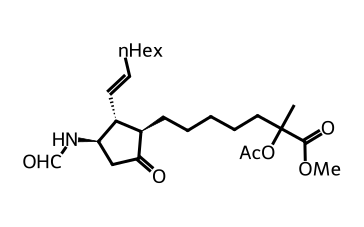 CCCCCCC=C[C@H]1[C@H](NC=O)CC(=O)[C@@H]1CCCCCC(C)(OC(C)=O)C(=O)OC